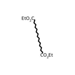 CCOC(=O)CCCCCCCCCCCCCCCC(=O)OCC